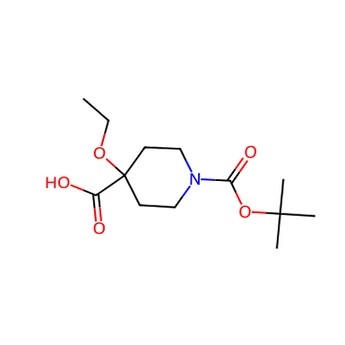 CCOC1(C(=O)O)CCN(C(=O)OC(C)(C)C)CC1